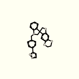 c1ccc2c(c1)N(Cc1ccc(-c3ccno3)cc1)CC21COc2cc3c(cc21)OCCO3